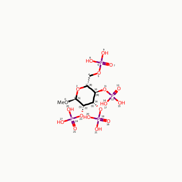 CO[C@H]1O[C@H](COP(=O)(O)O)[C@@H](OP(=O)(O)O)[C@H](OP(=O)(O)O)[C@@H]1OP(=O)(O)O